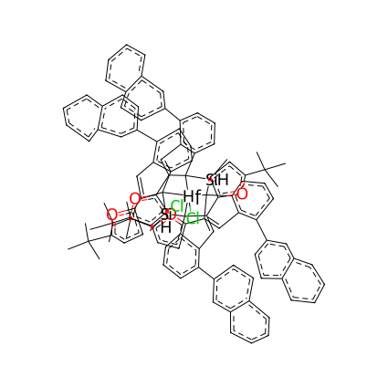 C[SiH]1[C]2(C(c3ccc(C(C)(C)C)o3)=Cc3c(-c4ccc5ccccc5c4)cccc32)[Hf]2([Cl])([Cl])([C]13C(c1ccc(C(C)(C)C)o1)=Cc1c(-c4ccc5ccccc5c4)cccc13)[C]1(C(c3ccc(C(C)(C)C)o3)=Cc3c(-c4ccc5ccccc5c4)cccc31)[SiH](C)[C]21C(c2ccc(C(C)(C)C)o2)=Cc2c(-c3ccc4ccccc4c3)cccc21